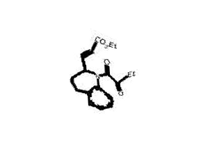 CCOC(=O)C=CC1CCc2ccccc2N1C(=O)C(=O)CC